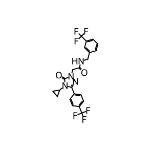 O=C(Cn1nc(-c2ccc(C(F)(F)F)cc2)n(C2CC2)c1=O)NCc1cccc(C(F)(F)F)c1